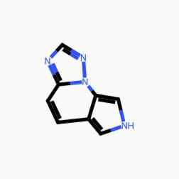 c1nc2ccc3c[nH]cc3n2n1